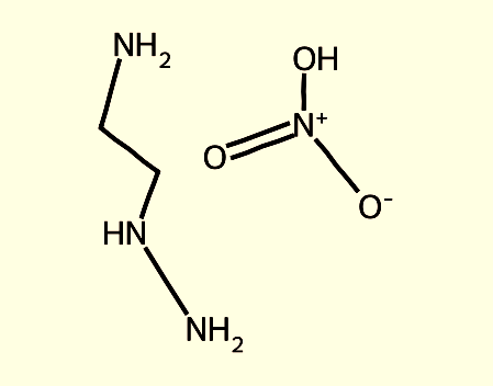 NCCNN.O=[N+]([O-])O